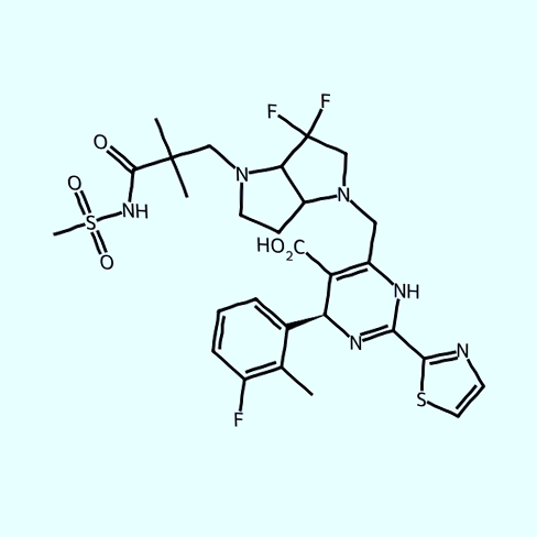 Cc1c(F)cccc1[C@@H]1N=C(c2nccs2)NC(CN2CC(F)(F)C3C2CCN3CC(C)(C)C(=O)NS(C)(=O)=O)=C1C(=O)O